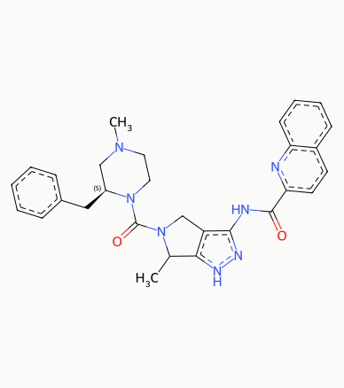 CC1c2[nH]nc(NC(=O)c3ccc4ccccc4n3)c2CN1C(=O)N1CCN(C)C[C@@H]1Cc1ccccc1